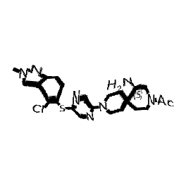 CC(=O)N1CCC2(CCN(c3cnc(Sc4ccc5nn(C)cc5c4Cl)cn3)CC2)[C@H](N)C1